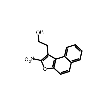 O=[N+]([O-])c1oc2ccc3ccccc3c2c1CCO